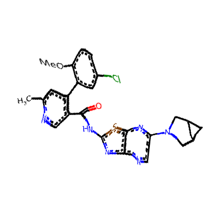 COc1ccc(Cl)cc1-c1cc(C)ncc1C(=O)Nc1nc2ncc(N3CC4CC4C3)nc2s1